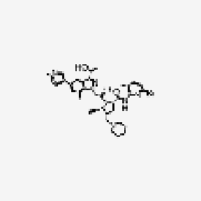 C#C[C@@H]1[C@@H](CN2CCCCC2)C[C@@H](C(=O)Nc2nc(Br)ccc2C)N1C(=O)Cn1nc(C(C)O)c2cc(-c3cnc(C)nc3)cc(C)c21